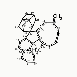 C=c1ccccc(=C)c2c(cc1)C1(c3ccc4ccccc4c3-2)C2CC3CC(C2)CC1C3